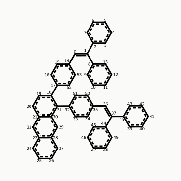 C(=C(c1ccccc1)c1ccccc1)c1ccc(-c2ccc3cc4ccccc4cc3c2-c2ccc(C=C(c3ccccc3)c3ccccc3)cc2)cc1